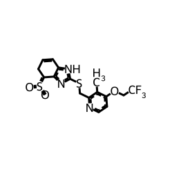 Cc1c(OCC(F)(F)F)ccnc1CSc1nc2c([nH]1)C=CCC2=S(=O)=O